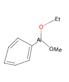 CC[O][Al]([O]C)[c]1ccccc1